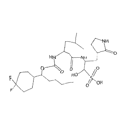 CCCCC(OC(=O)NC(CC(C)C)C(=O)NC(C[C@@H]1CCNC1=O)C(O)S(=O)(=O)O)C1CCC(F)(F)CC1